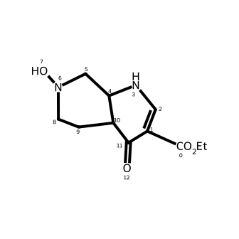 CCOC(=O)C1=CNC2CN(O)CCC2C1=O